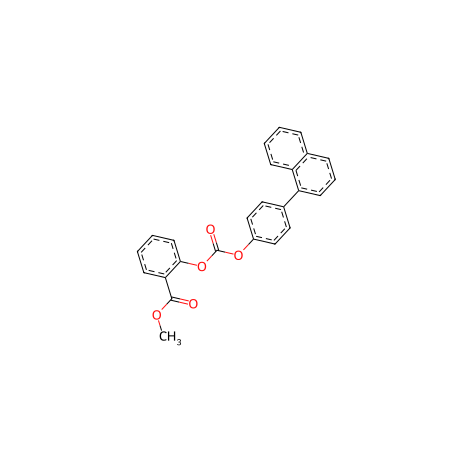 COC(=O)c1ccccc1OC(=O)Oc1ccc(-c2cccc3ccccc23)cc1